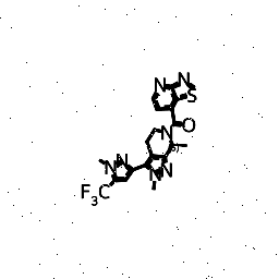 C[C@H]1c2nn(C)c(-c3cc(C(F)(F)F)n(C)n3)c2CCN1C(=O)c1ccnc2ncsc12